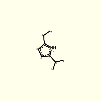 CCc1ccc(C(C)C)[nH]1